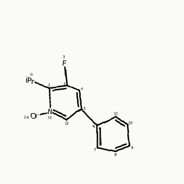 CC(C)c1c(F)cc(-c2ccccc2)c[n+]1[O-]